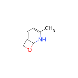 CC1=CC=C2COC2N1